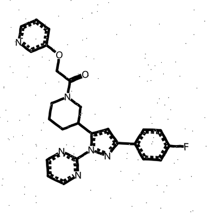 O=C(COc1cccnc1)N1CCCC(c2cc(-c3ccc(F)cc3)nn2-c2ncccn2)C1